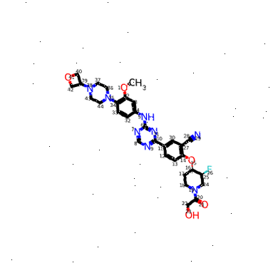 COc1cc(Nc2ncnc(-c3ccc(O[C@H]4CCN(C(=O)CO)C[C@@H]4F)c(C#N)c3)n2)ccc1N1CCN(C2COC2)CC1